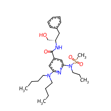 CCCCN(CCCC)c1cc(C(=O)N[C@H](CO)Cc2ccccc2)cc(N(CCC)S(C)(=O)=O)n1